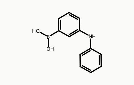 OB(O)c1cccc(Nc2ccccc2)c1